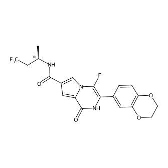 C[C@H](CC(F)(F)F)NC(=O)c1cc2c(=O)[nH]c(-c3ccc4c(c3)OCCO4)c(F)n2c1